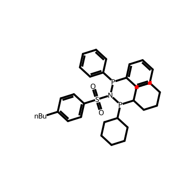 CCCCc1ccc(S(=O)(=O)N(P(c2ccccc2)c2ccccc2)P(C2CCCCC2)C2CCCCC2)cc1